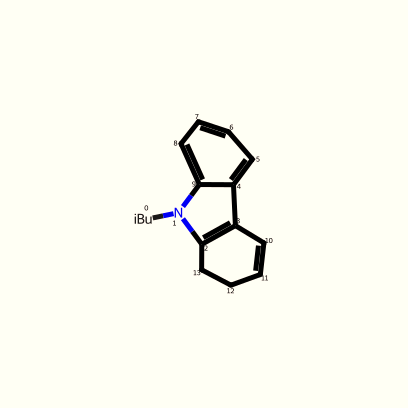 CCC(C)n1c2c(c3ccccc31)C=CCC2